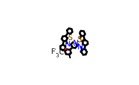 Cc1cc(-c2cc(-n3c4ccccc4c4ccc5c6ccccc6sc5c43)ncc2-n2c3ccccc3c3ccc4c5ccccc5sc4c32)cc(C(F)(F)F)c1